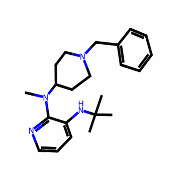 CN(c1ncccc1NC(C)(C)C)C1CCN(Cc2ccccc2)CC1